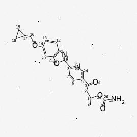 CC(CC(=O)c1ccc(-c2nc3ccc(OCC4CC4)cc3o2)nc1)OC(N)=O